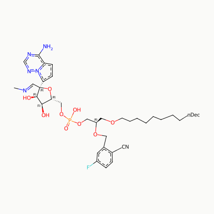 CCCCCCCCCCCCCCCCCCOC[C@H](COP(=O)(O)OC[C@H]1O[C@@](C=NC)(c2ccc3c(N)ncnn23)[C@H](O)[C@@H]1O)OCc1cc(F)ccc1C#N